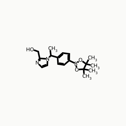 CC(c1ccc(B2OC(C)(C)C(C)(C)O2)cc1)n1ccnc1CO